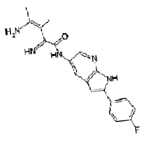 C/C(N)=C(\C)C(=N)C(=O)Nc1cnc2[nH]c(-c3ccc(F)cc3)cc2c1